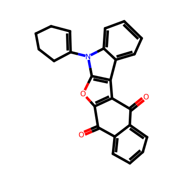 O=C1c2ccccc2C(=O)c2c1oc1c2c2ccccc2n1C1=CCCCC1